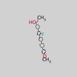 CCCC(O)C1CCC(c2ccc(C3=CCC(C4CCC(c5ccc(OCC)cc5)CC4)CC3)c(F)c2)CC1